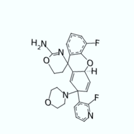 NC1=NC2(CCO1)C1=CC(c3cccnc3F)(N3CCOCC3)C=C[C@@H]1Oc1c(F)cccc12